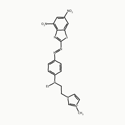 CCN(CCn1cc[n+](C)c1)c1ccc(N=Nc2nc3c([N+](=O)[O-])cc([N+](=O)[O-])cc3s2)cc1